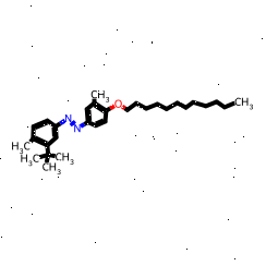 CCCCCCCCCCCCOc1ccc(N=Nc2ccc(C)c(C(C)(C)C)c2)cc1C